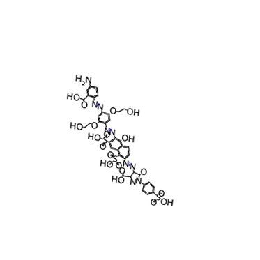 Nc1ccc(/N=N/c2cc(OCCO)c(/N=N/c3c(S(=O)(=O)O)cc4c(S(=O)(=O)O)c(/N=N/C5C(=O)N(c6ccc(S(=O)(=O)O)cc6)N=C5C(=O)O)ccc4c3O)cc2OCCO)c(C(=O)O)c1